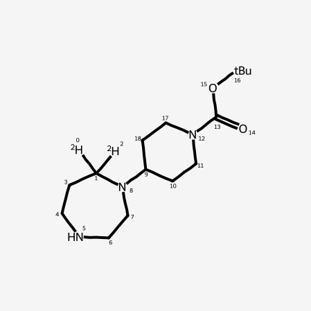 [2H]C1([2H])CCNCCN1C1CCN(C(=O)OC(C)(C)C)CC1